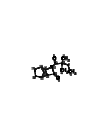 CCC(C)(C)C(=O)N1C(=O)C2C3CCC(C3)C21